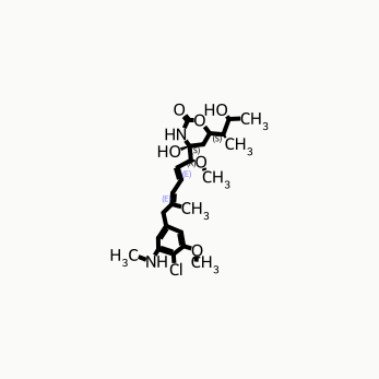 CNc1cc(C/C(C)=C/C=C/[C@@H](OC)[C@@]2(O)CC([C@@H](C)C(C)O)OC(=O)N2)cc(OC)c1Cl